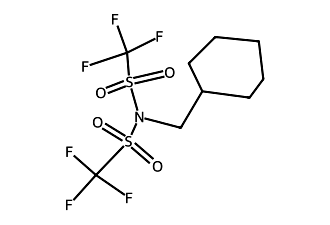 O=S(=O)(N(CC1CCCCC1)S(=O)(=O)C(F)(F)F)C(F)(F)F